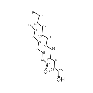 CCCCCCCC=O.CCCCCCCCCCCCO